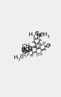 CCC(=O)[C@@]1(OC(C)=O)CCC2C3CCC4=CC(=O)CCC4=C3[C@@H](c3ccc(N(C)C)cc3)C[C@@]21C